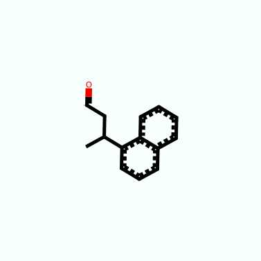 CC(C[C]=O)c1cccc2ccccc12